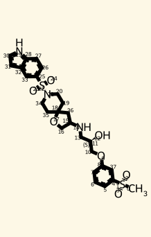 CS(=O)(=O)c1cccc(OC[C@@H](O)CNC2COC3(CCN(S(=O)(=O)c4ccc5[nH]ccc5c4)CC3)C2)c1